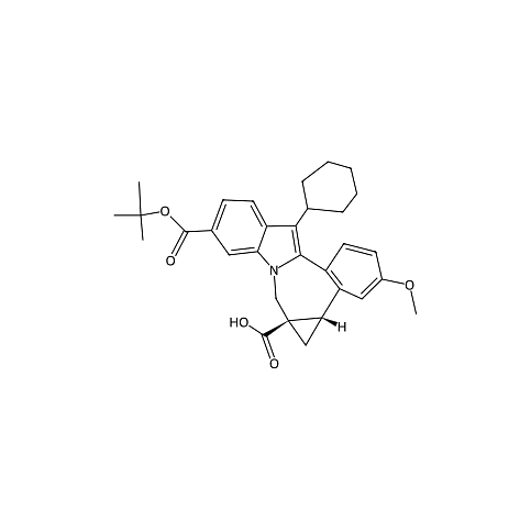 COc1ccc2c(c1)[C@@H]1C[C@]1(C(=O)O)Cn1c-2c(C2CCCCC2)c2ccc(C(=O)OC(C)(C)C)cc21